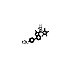 CC1=Cc2c(-c3ccc(C(C)(C)C)cc3)cccc2[CH]1[Zr]([CH]1C(C)=C(C)C(C)=C1C)[SiH](C)C